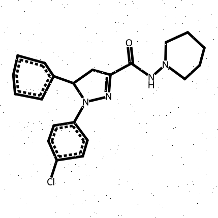 O=C(NN1CCCCC1)C1=NN(c2ccc(Cl)cc2)C(c2ccccc2)C1